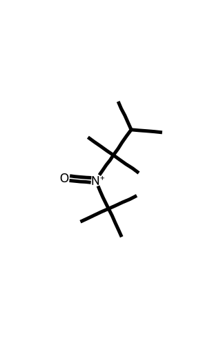 CC(C)C(C)(C)[N+](=O)C(C)(C)C